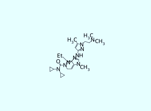 CCN1C=C(Nc2cc(C)n(CCN(C)C)n2)C23N=CN(C)C2=CCN(C(=O)N(C2CC2)C2CC2)C13